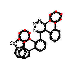 c1ccc(-c2ccccc2-c2cccc(-c3nnnc(-c4ccccc4)c3-c3ccccc3-c3ccccc3)c2-c2cccc3[se]c4ccccc4c23)cc1